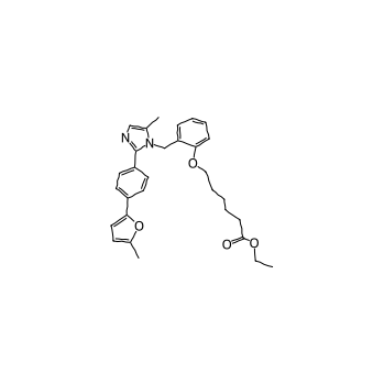 CCOC(=O)CCCCCOc1ccccc1Cn1c(C)cnc1-c1ccc(-c2ccc(C)o2)cc1